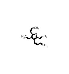 C=C/C=C\c1c(C=C)oc(/C=C\C)c1C=C